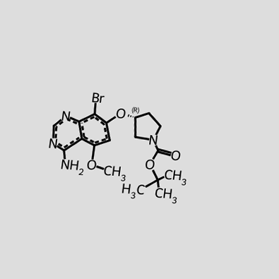 COc1cc(O[C@@H]2CCN(C(=O)OC(C)(C)C)C2)c(Br)c2ncnc(N)c12